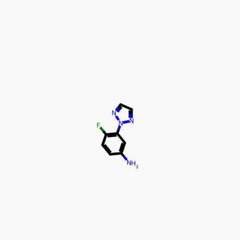 Nc1ccc(F)c(-n2nccn2)c1